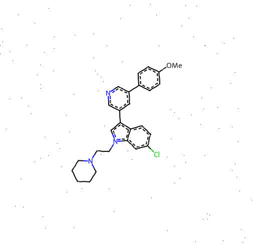 COc1ccc(-c2cncc(-c3cn(CCN4CCCCC4)c4cc(Cl)ccc34)c2)cc1